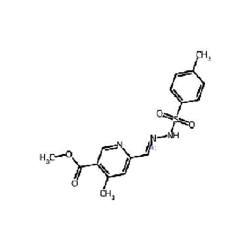 COC(=O)c1cnc(/C=N/NS(=O)(=O)c2ccc(C)cc2)cc1C